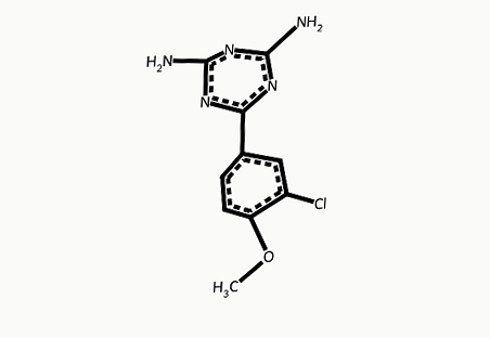 COc1ccc(-c2nc(N)nc(N)n2)cc1Cl